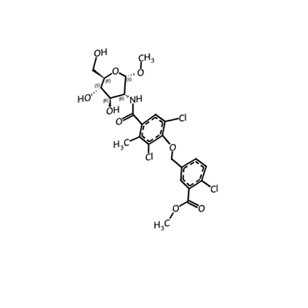 COC(=O)c1cc(COc2c(Cl)cc(C(=O)N[C@H]3[C@@H](OC)O[C@H](CO)[C@@H](O)[C@@H]3O)c(C)c2Cl)ccc1Cl